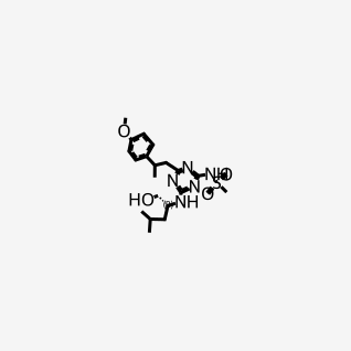 COc1ccc(C(C)Cc2nc(N[C@@H](CO)CC(C)C)nc(NS(C)(=O)=O)n2)cc1